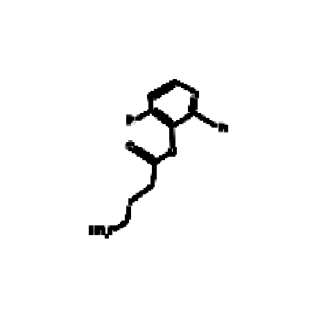 CC(C)c1cccc(C(C)C)c1OC(=O)CCCC(=O)O